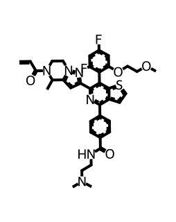 C=CC(=O)N1CCn2nc(-c3nc(-c4ccc(C(=O)NCCN(C)C)cc4)c4ccsc4c3-c3c(F)cc(F)cc3OCCOC)cc2C1C